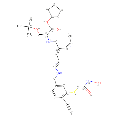 C#Cc1ccc(CN/C=C/C=C(\C=C/C)CN[C@@H](COC(C)(C)C)C(=O)OC2CCCC2)cc1SCC(=O)NO